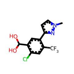 Cn1ccc(-c2cc(C(O)O)c(Cl)cc2C(F)(F)F)n1